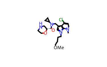 COCCCCn1cc(CN(C(=O)[C@H]2CNCCO2)C2CC2)c2c1N(C)CC=C2Cl